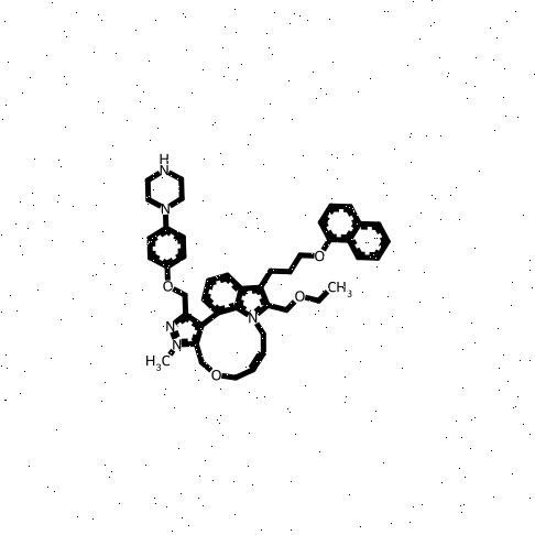 CCOCc1c(CCCOc2cccc3ccccc23)c2cccc3c2n1C/C=C\COCc1c-3c(COc2ccc(N3CCNCC3)cc2)nn1C